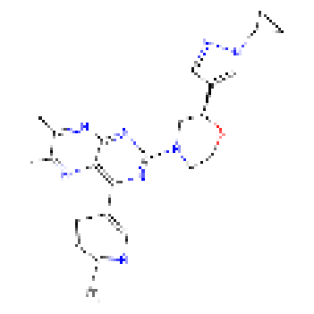 Cc1nc2nc(N3CCO[C@H](c4cnn(C5CC5)c4)C3)nc(-c3ccc(C(F)(F)F)nc3)c2nc1C